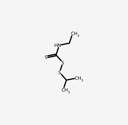 CCNC(=S)SSC(C)C